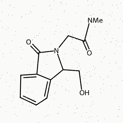 CNC(=O)CN1C(=O)c2ccccc2C1CO